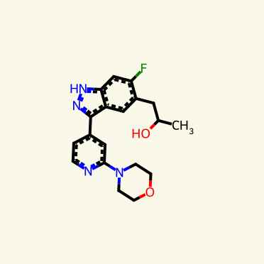 CC(O)Cc1cc2c(-c3ccnc(N4CCOCC4)c3)n[nH]c2cc1F